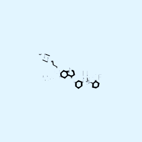 COc1cc2c(Oc3cccc(NS(=O)(=O)c4ccccc4C(F)(F)F)c3)ccnc2cc1OCCCN1CCN(C)CC1